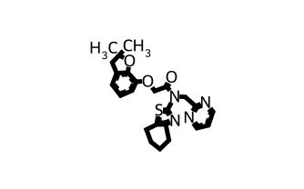 CC1(C)Cc2cccc(OCC(=O)N(Cc3ncccn3)c3nc4c(s3)CCCC4)c2O1